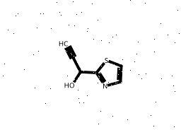 C#CC(O)c1nccs1